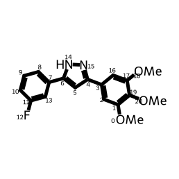 COc1cc(-c2cc(-c3cccc(F)c3)[nH]n2)cc(OC)c1OC